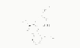 CCCc1cccc2nc(O)c(CC(=O)OCC)c(O)c12